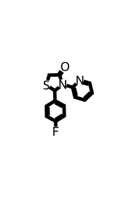 O=C1CSC(c2ccc(F)cc2)N1c1ccccn1